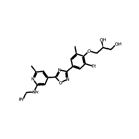 CCc1cc(-c2noc(-c3cc(C)nc(NCC(C)C)c3)n2)cc(C)c1OC[C@@H](O)CO